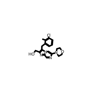 Cc1c(Cl)cccc1Cc1c(CO)nc2cnc(N3CCOCC3)cn12